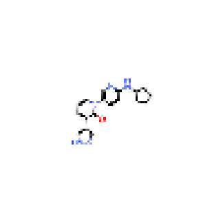 O=c1c(-c2cn[nH]c2)cccn1-c1ccc(NC2CCCC2)nc1